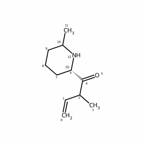 C=CC(C)C(=O)[C@@H]1CCCC(C)N1